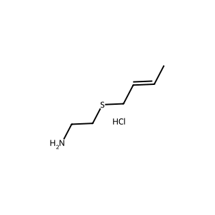 CC=CCSCCN.Cl